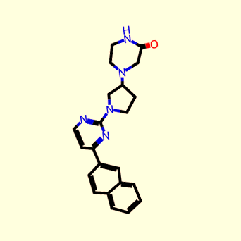 O=C1CN(C2CCN(c3nccc(-c4ccc5ccccc5c4)n3)C2)CCN1